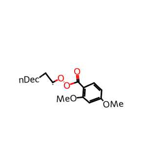 [CH2]CCCCCCCCCC[CH]OOC(=O)c1ccc(OC)cc1OC